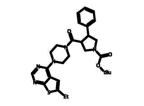 CCc1cc2c(N3CCN(C(=O)C4CN(C(=O)OC(C)(C)C)CC4c4ccccc4)CC3)ncnc2s1